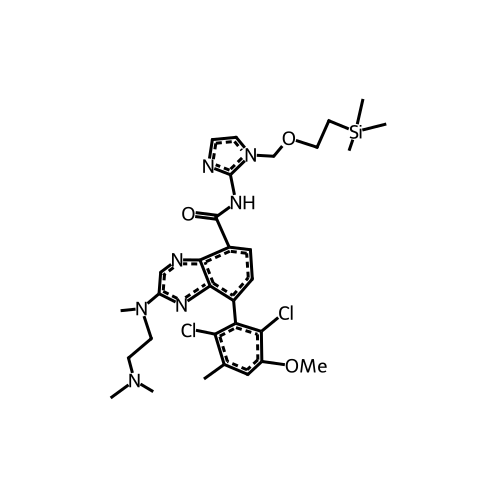 COc1cc(C)c(Cl)c(-c2ccc(C(=O)Nc3nccn3COCC[Si](C)(C)C)c3ncc(N(C)CCN(C)C)nc23)c1Cl